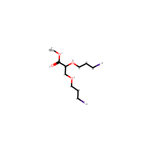 CC(C)(C)OC(=O)C(COCCCI)OCCCI